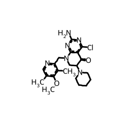 COc1c(C)cnc(CN2CC(N3CCCCC3)C(=O)c3c(Cl)nc(N)nc32)c1C